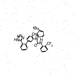 CC(C)(C)c1ccccc1Oc1ccc(-c2ccccc2-c2nnn[nH]2)cc1NC(=O)Nc1ccccc1C(F)(F)F